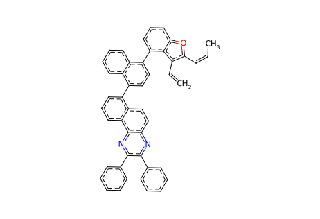 C=Cc1c(/C=C\C)oc2cccc(-c3ccc(-c4cccc5c4ccc4nc(-c6ccccc6)c(-c6ccccc6)nc45)c4ccccc34)c12